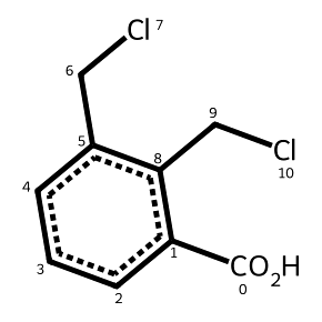 O=C(O)c1cccc(CCl)c1CCl